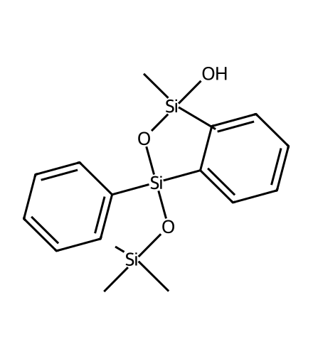 C[Si](C)(C)O[Si](O[Si](C)(C)O)(c1ccccc1)c1ccccc1